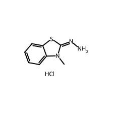 Cl.Cn1/c(=N\N)sc2ccccc21